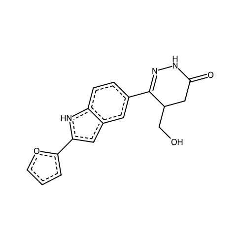 O=C1CC(CO)C(c2ccc3[nH]c(-c4ccco4)cc3c2)=NN1